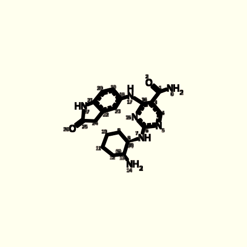 NC(=O)c1cnc(N[C@@H]2CCCC[C@@H]2N)nc1Nc1ccc2c(c1)CC(=O)N2